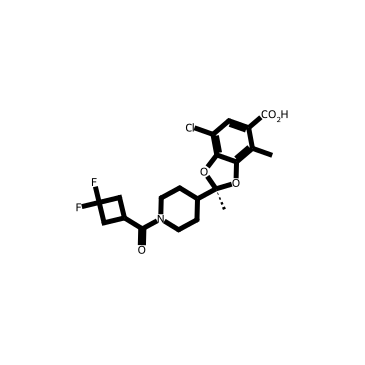 Cc1c(C(=O)O)cc(Cl)c2c1O[C@@](C)(C1CCN(C(=O)C3CC(F)(F)C3)CC1)O2